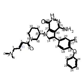 CN(C)C/C=C/C(=O)N1CCC[C@@H](n2cc(-c3ccc(Oc4ccccc4)c(F)c3)c3c(N)n[nH]c(=O)c32)C1